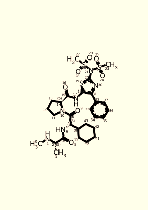 CN[C@@H](C)C(=O)N[C@H](C(=O)N1CCC[C@H]1C(=O)Nc1sc(N(S(C)(=O)=O)S(C)(=O)=O)nc1-c1ccccc1)C1CCCCC1